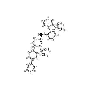 CC1(C)c2cc(Nc3cccc4c3-c3ccccc3C4(C)C)ccc2-c2ccc(-c3ccccc3)cc21